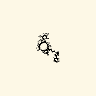 CC[C@H]1OC(=O)[C@@](C)(F)C(=O)[C@H](C)[C@@H](O[C@@H]2O[C@H](C)C[C@H](NC)[C@H]2O)[C@](C)(OC)C[C@@H](C)C(=O)[C@@H]2C(CCCn3cnc(-c4cccnc4)c3)N3C(=O)O[C@@]1(C)C23